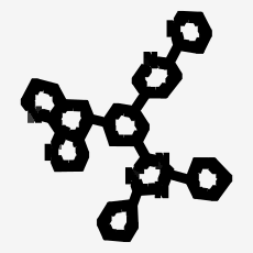 c1ccc(-c2nc(-c3ccccc3)nc(-c3cc(-c4ccc(-c5ccccn5)nc4)cc(-c4cc5cccnc5c5ncccc45)c3)n2)cc1